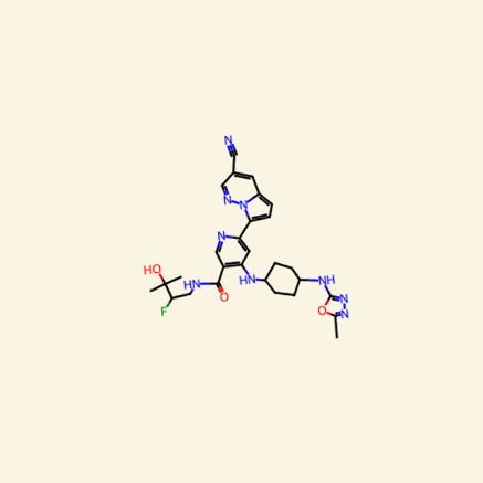 Cc1nnc(NC2CCC(Nc3cc(-c4ccc5cc(C#N)cnn45)ncc3C(=O)NCC(F)C(C)(C)O)CC2)o1